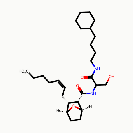 O=C(O)CCC/C=C\C[C@@H]1[C@H](C(=O)NC(CO)C(=O)NCCCCC2CCCCC2)[C@H]2CC[C@@H]1O2